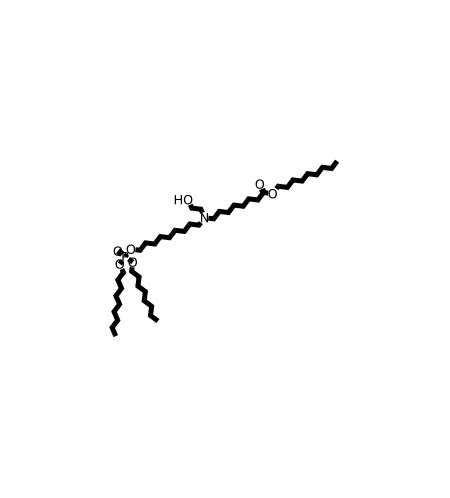 CCCCCCCCCOC(=O)CCCCCCCN(CCO)CCCCCCCCCOP(=O)(OCCCCCCCC)OCCCCCCCCC